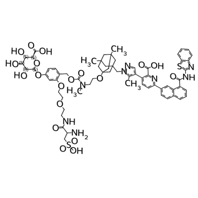 Cc1c(-c2ccc(-c3ccc4cccc(C(=O)Nc5nc6ccccc6s5)c4c3)nc2C(=O)O)cnn1CC12CC3(C)CC(C)(C1)CC(OCCN(C)C(=O)OCc1ccc(O[C@@H]4O[C@H](C(=O)O)[C@@H](O)[C@H](O)[C@H]4O)cc1OCCOCCNC(=O)C(N)CS(=O)(=O)O)(C3)C2